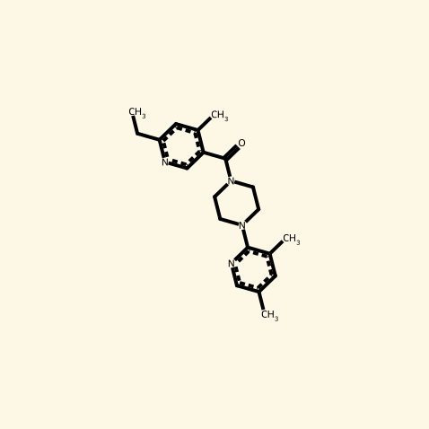 CCc1cc(C)c(C(=O)N2CCN(c3ncc(C)cc3C)CC2)cn1